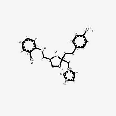 Cc1ccc(CCC2(Cn3ccnc3)OCC(COc3ccccc3Cl)O2)cc1